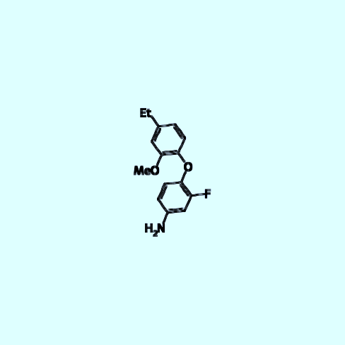 CCc1ccc(Oc2ccc(N)cc2F)c(OC)c1